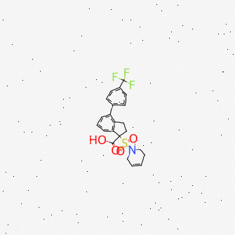 O=C(O)C1(S(=O)(=O)N2CC=CCC2)CCc2c(-c3ccc(C(F)(F)F)cc3)cccc21